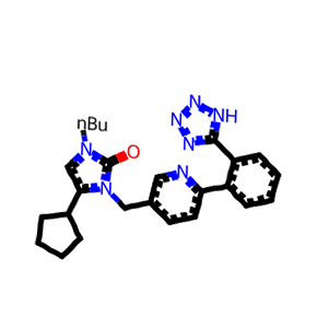 CCCCn1cc(C2CCCC2)n(Cc2ccc(-c3ccccc3-c3nnn[nH]3)nc2)c1=O